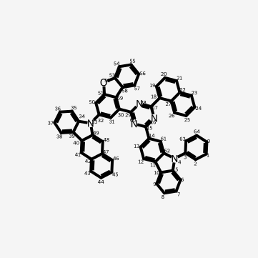 c1ccc(-n2c3ccccc3c3ccc(-c4nc(-c5cccc6ccccc56)nc(-c5cc(-n6c7ccccc7c7cc8ccccc8cc76)cc6oc7ccccc7c56)n4)cc32)cc1